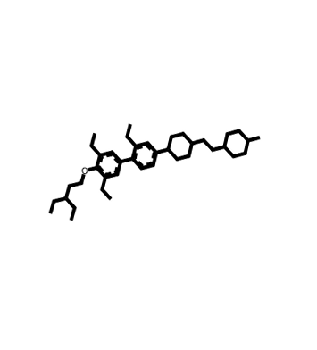 CCc1cc(C2CCC(CCC3CCC(C)CC3)CC2)ccc1-c1cc(CC)c(OCCC(CC)CC)c(CC)c1